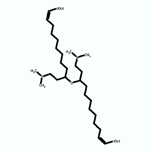 CCCCCCCC/C=C\CCCCCCCC(CCN(C)C)OC(CCCCCCC/C=C\CCCCCCCC)CCN(C)C